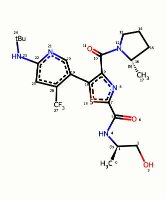 C[C@H](CO)NC(=O)c1nc(C(=O)N2CCC[C@@H]2C)c(-c2cnc(NC(C)(C)C)cc2C(F)(F)F)s1